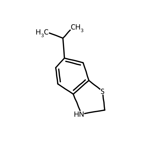 CC(C)c1ccc2c(c1)SCN2